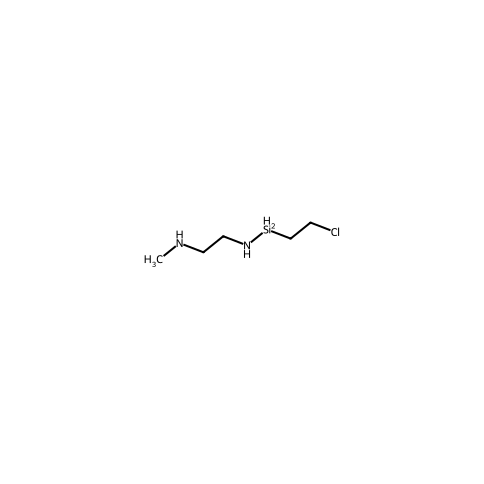 CNCCN[SiH2]CCCl